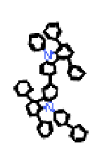 C1=C(c2ccc3c(c2)c2c(-c4ccccc4)ccc(-c4ccccc4)c2n3-c2ccccc2)CCc2c1c1c(-c3ccccc3)ccc(-c3ccccc3)c1n2-c1ccc(-c2ccccc2)cc1